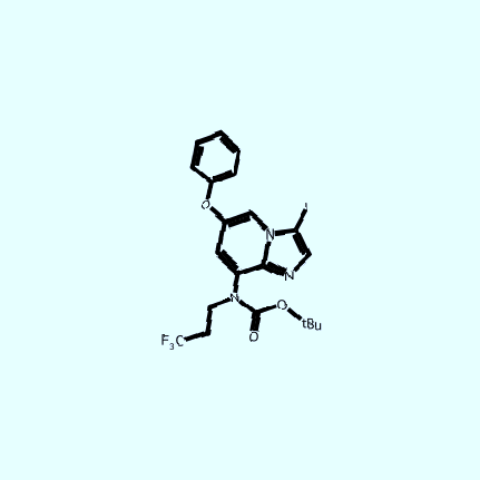 CC(C)(C)OC(=O)N(CCC(F)(F)F)c1cc(Oc2ccccc2)cn2c(I)cnc12